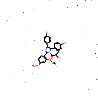 COc1ccc(C2=NC(c3ccc(Cl)cc3)C(c3ccc(Cl)cc3)N2C(=O)C(C)C)c(OC)c1